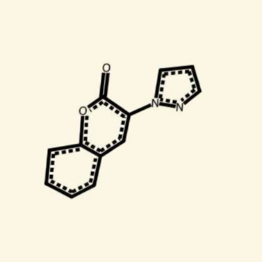 O=c1oc2ccccc2cc1-n1cccn1